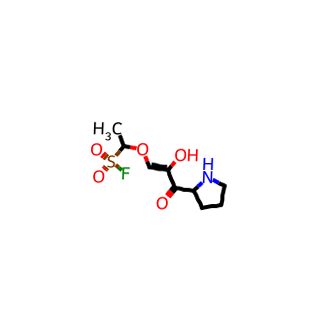 CC(OC=C(O)C(=O)C1CCCN1)S(=O)(=O)F